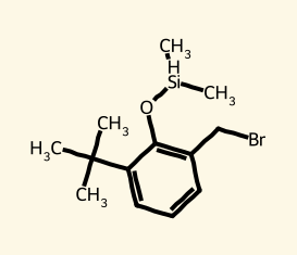 C[SiH](C)Oc1c(CBr)cccc1C(C)(C)C